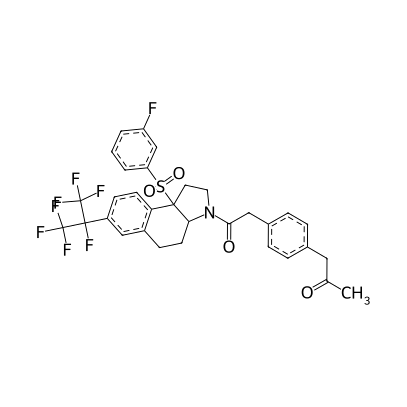 CC(=O)Cc1ccc(CC(=O)N2CCC3(S(=O)(=O)c4cccc(F)c4)c4ccc(C(F)(C(F)(F)F)C(F)(F)F)cc4CCC23)cc1